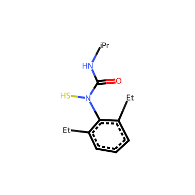 CCc1cccc(CC)c1N(S)C(=O)NC(C)C